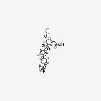 CCCOc1cc(CC(=O)O)cc(S(=O)(=O)c2cc(-c3ccc(OC(F)(F)F)cc3)c(C)s2)c1